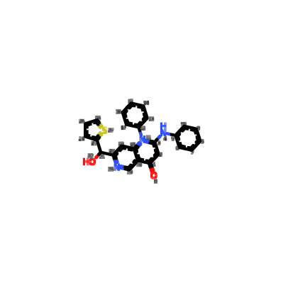 O=c1cc(Nc2ccccc2)n(-c2ccccc2)c2cc(C(O)c3cccs3)ncc12